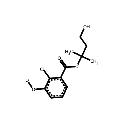 CC(C)(CCO)OC(=O)c1cccc(O[O])c1Cl